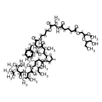 CCC(CO)OC(COC(=O)CCCC(=O)N[C@@H](C)C(=O)OCCCNC(=O)[C@H](Cc1ccccc1)NC(=O)[C@H](C)[C@@H](OC)[C@@H]1CCCN1C(=O)C[C@@H](C)[C@H](C(C)CC)N(C)C(=O)[C@@H](NC(=O)[C@H](C(C)C)N(C)C)C(C)C)OC